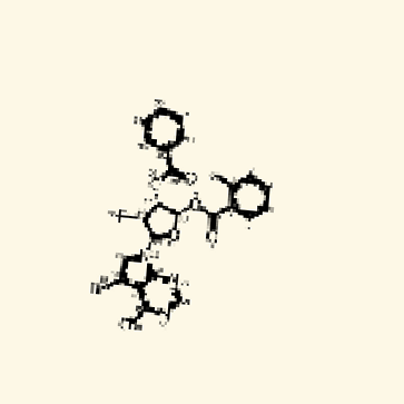 Cc1ccccc1C(=O)O[C@H]1O[C@@H](n2cc(Br)c3c(Cl)ncnc32)[C@@H](F)[C@@H]1OC(=O)c1ccccc1